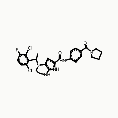 CC(c1c(Cl)ccc(F)c1Cl)N1CCNc2[nH]c(C(=O)Nc3ccc(C(=O)N4CCCC4)cc3)cc21